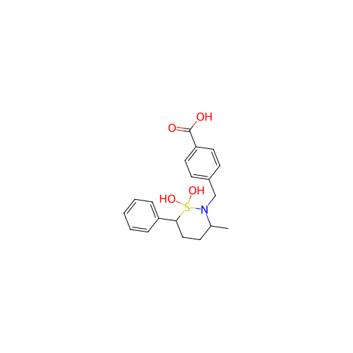 CC1CCC(c2ccccc2)S(O)(O)N1Cc1ccc(C(=O)O)cc1